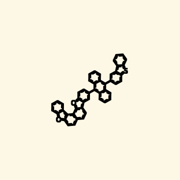 c1ccc2c(c1)oc1ccc3ccc4c5cc(-c6c7ccccc7c(-c7ccc8sc9ccccc9c8c7)c7ccccc67)ccc5oc4c3c12